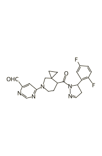 O=Cc1cc(N2CCC(C(=O)N3N=CCC3c3cc(F)ccc3F)C3(CC3)C2)ncn1